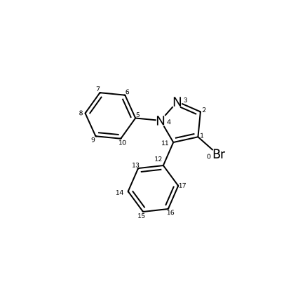 Brc1cnn(-c2ccccc2)c1-c1ccccc1